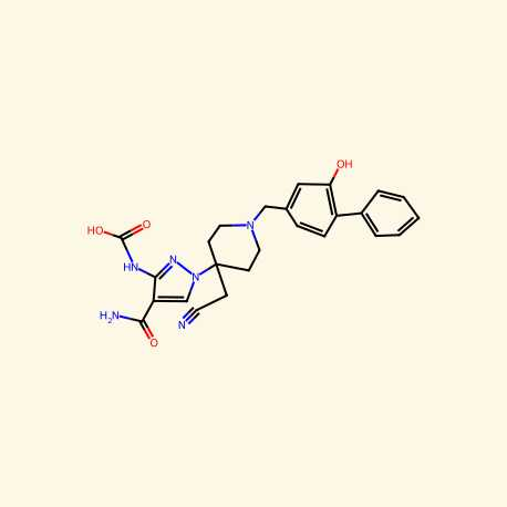 N#CCC1(n2cc(C(N)=O)c(NC(=O)O)n2)CCN(Cc2ccc(-c3ccccc3)c(O)c2)CC1